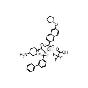 NC1CCN(C(=O)[C@H](NS(=O)(=O)c2ccc3cc(OC4CCCC4)ccc3c2)C(F)(F)c2cccc(-c3ccccc3)c2)CC1.O=C(O)C(F)(F)F